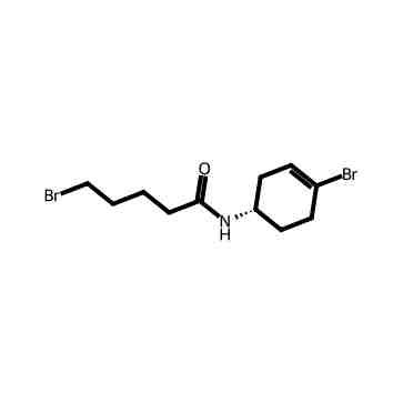 O=C(CCCCBr)N[C@@H]1CC=C(Br)CC1